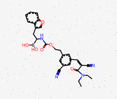 CCN(CC)C(=O)C(C#N)=Cc1cc(C#N)cc(CCOC(=O)NC(Cc2coc3ccccc23)B(O)O)c1